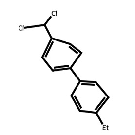 CCc1ccc(-c2ccc(C(Cl)Cl)cc2)cc1